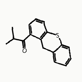 CC(C)C(=O)c1cccc2c1Cc1ccccc1S2